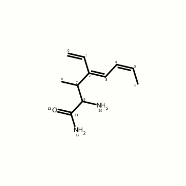 C=C/C(=C\C=C/C)C(C)C(N)C(N)=O